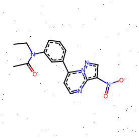 CCN(C(C)=O)c1cccc(-c2ccnc3c([N+](=O)[O-])cnn23)c1